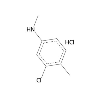 CNc1ccc(C)c(Cl)c1.Cl